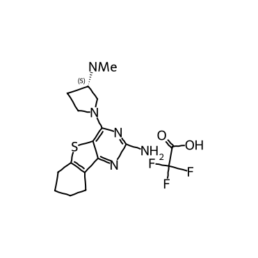 CN[C@H]1CCN(c2nc(N)nc3c4c(sc23)CCCC4)C1.O=C(O)C(F)(F)F